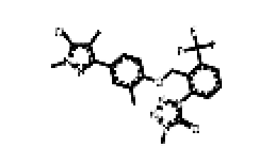 Cc1cc(-c2nn(C)c(Cl)c2C)ccc1OCc1c(-n2nnn(C)c2=O)cccc1C(F)(F)F